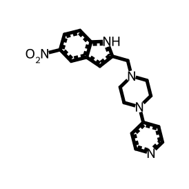 O=[N+]([O-])c1ccc2[nH]c(CN3CCN(c4ccncc4)CC3)cc2c1